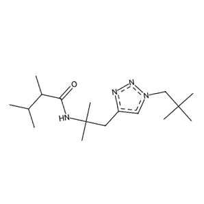 CC(C)C(C)C(=O)NC(C)(C)Cc1cn(CC(C)(C)C)nn1